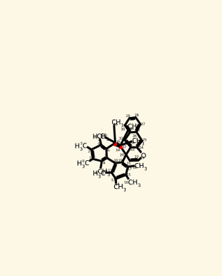 Cc1c(C)c(C)c2c(c1C)-c1c(C)c(C)c(C)c(C)c1C1(C=COc3cc4ccccc4cc31)c1c(C)c(C)c(C)c(C)c1-2